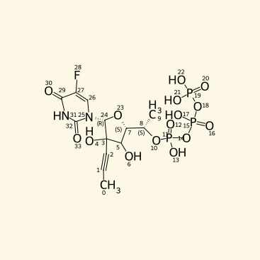 CC#CC1(O)C(O)[C@@H]([C@H](C)OP(=O)(O)OP(=O)(O)OP(=O)(O)O)O[C@H]1n1cc(F)c(=O)[nH]c1=O